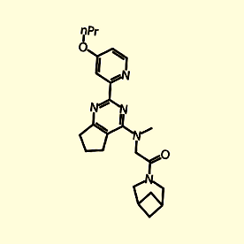 CCCOc1ccnc(-c2nc3c(c(N(C)CC(=O)N4CC5CC(C5)C4)n2)CCC3)c1